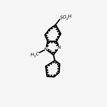 Cn1c(-c2ccccc2)nc2cc(S(=O)(=O)O)ccc21